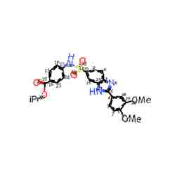 COc1ccc(-c2nc3ccc(S(=O)(=O)Nc4ccc(C(=O)OC(C)C)cc4)cc3[nH]2)cc1OC